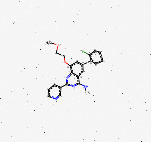 CNc1nc(-c2cccnc2)nc2c(OCCOC)cc(-c3ccccc3F)cc12